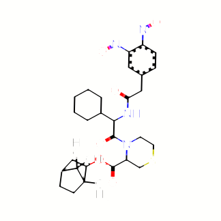 CC1(C)C2CCC1(C)C(OC(=O)C1CSCCN1C(=O)C(NC(=O)Cc1ccc(N=O)c(N=O)c1)C1CCCCC1)C2